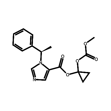 COC(=O)OC1(OC(=O)c2cncn2[C@H](C)c2ccccc2)CC1